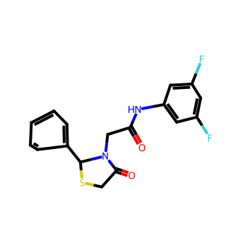 O=C(CN1C(=O)CSC1c1ccccc1)Nc1cc(F)cc(F)c1